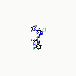 Cc1nc2c(F)cccc2nc1/C=C/c1nc(Cl)cc(N2CCCC2)n1